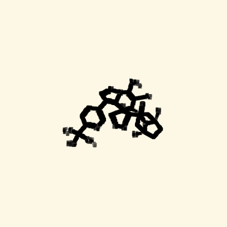 CC(=O)c1c([C@@H]2C[C@H]3CC[C@@H](C2)N3C(=O)c2nnc[nH]2)nc2c(-c3ccc(C(O)(C(F)(F)F)C(F)(F)F)nc3)cnn2c1N